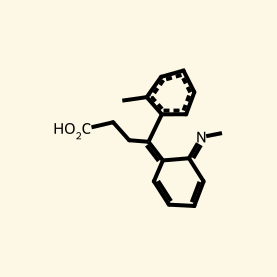 C/N=C1\C=CC=C\C1=C(/CCC(=O)O)c1ccccc1C